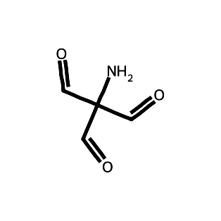 NC(C=O)(C=O)C=O